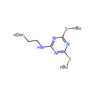 CCCCCCCCCCCCNc1nc(SCCCC)nc(SCCCC)n1